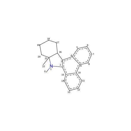 CN1c2c(c3ccccc3c3ccccc23)C2CCCCC21C